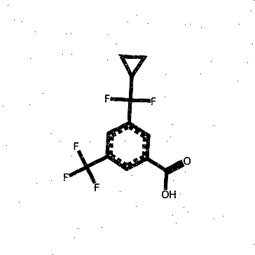 O=C(O)c1cc(C(F)(F)F)cc(C(F)(F)C2CC2)c1